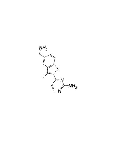 Cc1c(-c2ccnc(N)n2)sc2ccc(CN)cc12